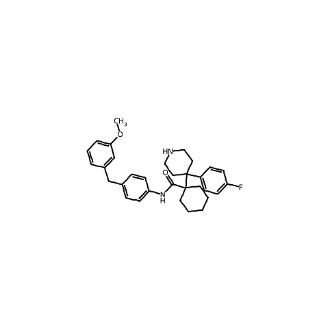 COc1cccc(Cc2ccc(NC(=O)C3(C4(c5ccc(F)cc5)CCNCC4)CCCCC3)cc2)c1